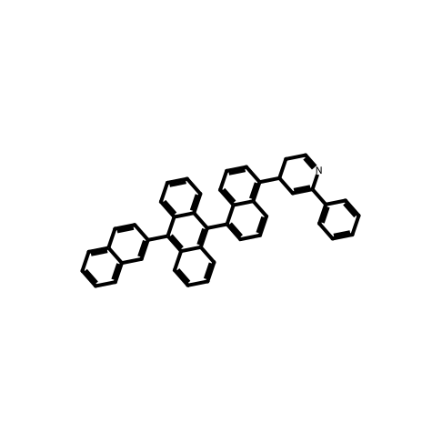 C1=NC(c2ccccc2)=CC(c2cccc3c(-c4c5ccccc5c(-c5ccc6ccccc6c5)c5ccccc45)cccc23)C1